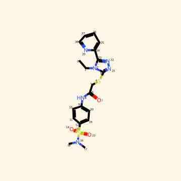 CCn1c(SCC(=O)Nc2ccc(S(=O)(=O)N(C)C)cc2)nnc1-c1ccccn1